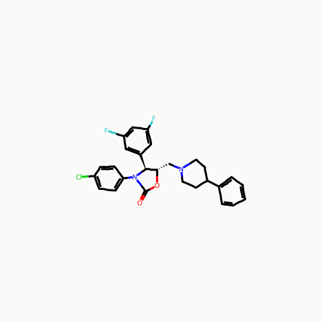 O=C1O[C@@H](CN2CCC(c3ccccc3)CC2)[C@H](c2cc(F)cc(F)c2)N1c1ccc(Cl)cc1